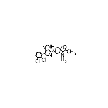 C[C@@H]1OCC2(CCN(c3ncc(-c4cccc(Cl)c4Cl)c4nc[nH]c34)CC2)[C@@H]1N